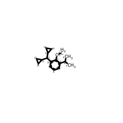 COc1c(C(C)C)cccc1C(C1CC1)C1CC1